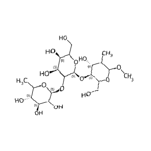 COC1OC(CO)[C@@H](O[C@@H]2OC(CO)[C@H](O)[C@H](O)C2O[C@@H]2OC(C)[C@@H](O)[C@H](O)C2O)[C@H](O)C1C